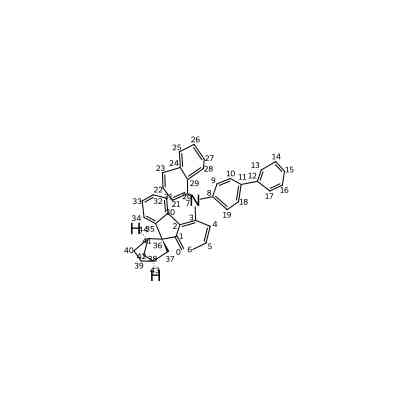 C=C1/C(=C(\C=C/C)N(c2ccc(-c3ccccc3)cc2)c2cccc3ccccc23)c2ccccc2[C@]12C[C@H]1CC[C@@H]2C1